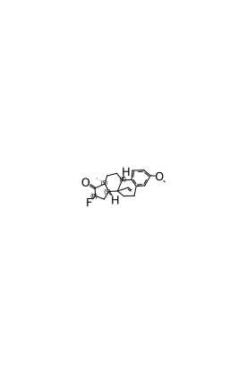 C=CC12CCc3cc(OC)ccc3[C@H]1CC[C@]1(C)C(=O)[C@H](F)C[C@@H]21